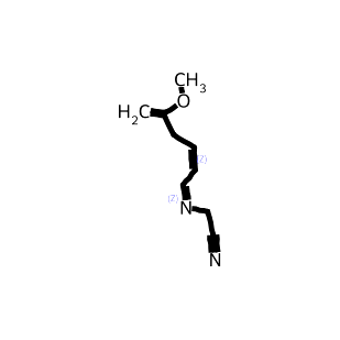 C=C(C/C=C\C=N/CC#N)OC